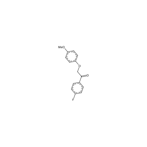 COc1ccc(OCC(=O)c2ccc(F)cc2)cc1